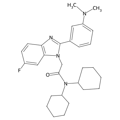 CN(C)c1cccc(-c2nc3ccc(F)cc3n2CC(=O)N(C2CCCCC2)C2CCCCC2)c1